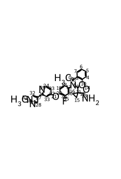 C[C@H](c1ccccc1)N(C(=O)C1(C(N)=O)CC1)c1ccc(Oc2ccnc(-c3cnn(C)c3)c2)c(F)c1